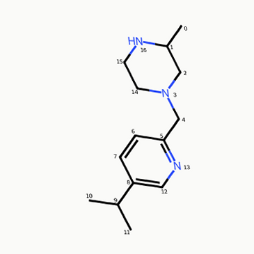 CC1CN(Cc2ccc(C(C)C)cn2)CCN1